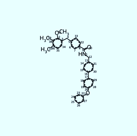 COc1c(Cc2ccc(C(=O)NCc3ccc(-c4ccc(Oc5ccccc5)cc4)cc3)cc2)ccc(C)c1C